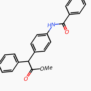 COC(=O)C(c1ccccc1)c1ccc(NC(=O)c2ccccc2)cc1